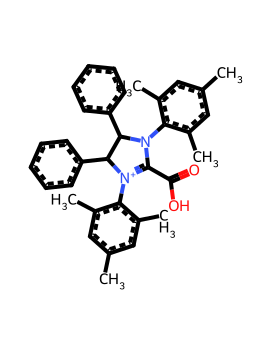 Cc1cc(C)c(N2C(C(=O)O)=[N+](c3c(C)cc(C)cc3C)C(c3ccccc3)C2c2ccccc2)c(C)c1